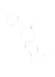 CN1CCCc2cc3cc(-c4ccncc4)c(=O)oc3cc21